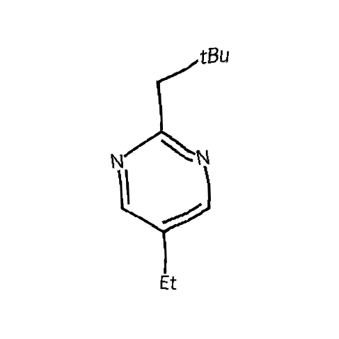 CCc1cnc(CC(C)(C)C)nc1